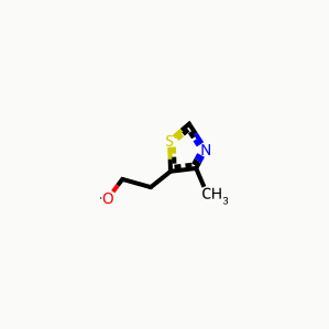 Cc1ncsc1CC[O]